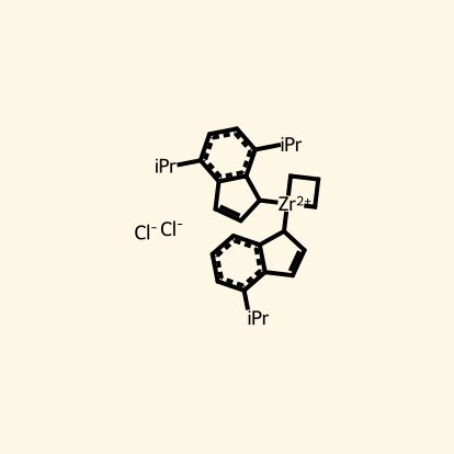 CC(C)c1cccc2c1C=C[CH]2[Zr+2]1([CH]2C=Cc3c(C(C)C)ccc(C(C)C)c32)[CH2]C[CH2]1.[Cl-].[Cl-]